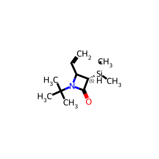 C=CC1[C@H]([SiH](C)C)C(=O)N1C(C)(C)C